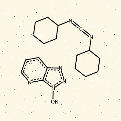 C(=NC1CCCCC1)=NC1CCCCC1.On1nnc2cccnc21